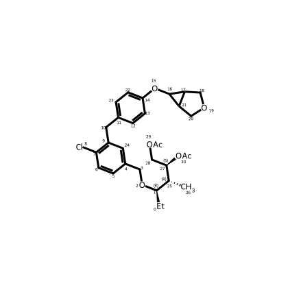 CC[C@@H](OCc1ccc(Cl)c(Cc2ccc(OC3C4COCC43)cc2)c1)[C@@H](C)[C@@H](COC(C)=O)OC(C)=O